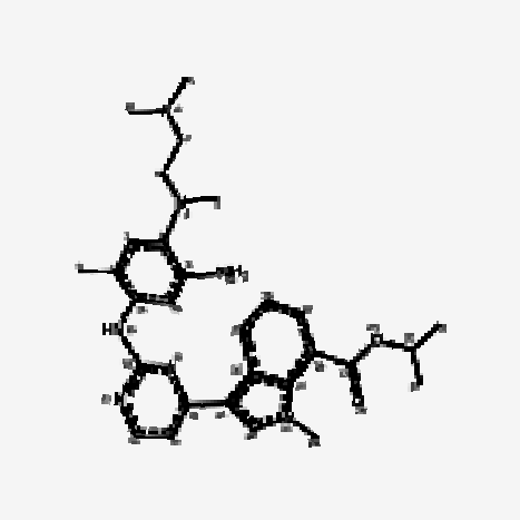 Cc1cc(N(C)CCN(C)C)c(N)cc1Nc1nccc(-c2cn(C)c3c(C(=O)OC(C)C)cccc23)n1